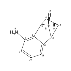 CC(C)[C@@H]1C2CCC1c1c(N)cccc12